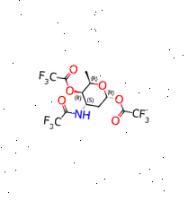 C[C@H]1O[C@H](OC(=O)C(F)(F)F)C[C@H](NC(=O)C(F)(F)F)[C@H]1OC(=O)C(F)(F)F